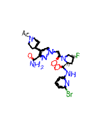 CC(=O)N1CC=C(c2cn(CC(=O)N3C[C@H](F)C[C@H]3C(=O)Nc3cccc(Br)n3)nc2C(N)=O)CC1